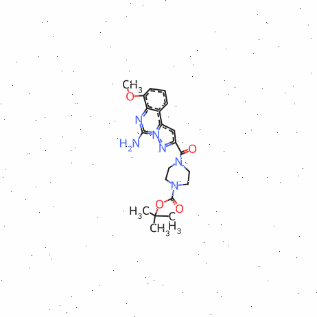 COc1cccc2c1nc(N)n1nc(C(=O)N3CCN(C(=O)OC(C)(C)C)CC3)cc21